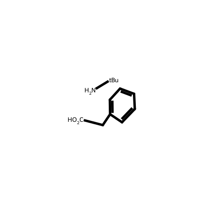 CC(C)(C)N.O=C(O)Cc1ccccc1